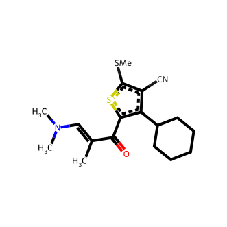 CSc1sc(C(=O)C(C)=CN(C)C)c(C2CCCCC2)c1C#N